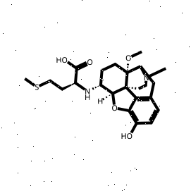 CO[C@@]12CC[C@@H](N[C@@H](CCSC)C(=O)O)[C@@H]3Oc4c(O)ccc5c4[C@@]31CCN(C)C2C5